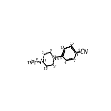 CC[CH]N1CCN(c2ccc(C#N)cc2)CC1